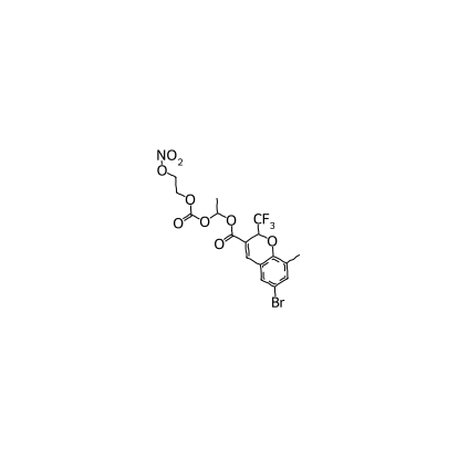 Cc1cc(Br)cc2c1OC(C(F)(F)F)C(C(=O)OC(C)OC(=O)OCCO[N+](=O)[O-])=C2